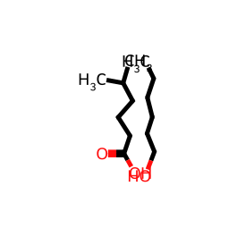 CC(C)CCCC(=O)O.CCCCCCO